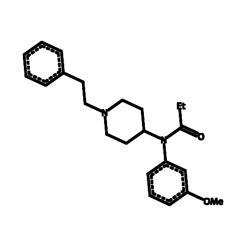 CCC(=O)N(c1cccc(OC)c1)C1CCN(CCc2ccccc2)CC1